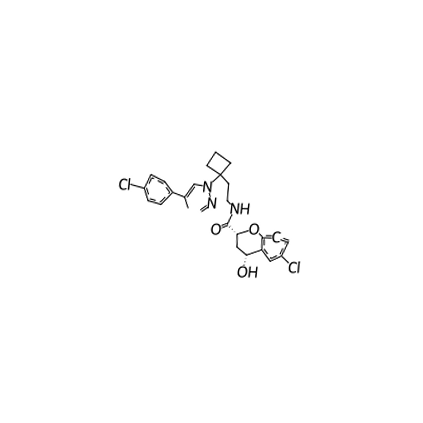 C=NN(/C=C(\C)c1ccc(Cl)cc1)C1(CCNC(=O)[C@H]2C[C@@H](O)c3cc(Cl)ccc3O2)CCC1